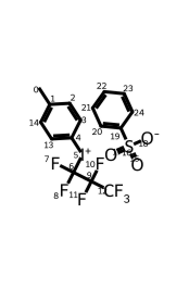 Cc1ccc([I+]C(F)(F)C(F)(F)C(F)(F)F)cc1.O=S(=O)([O-])c1ccccc1